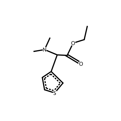 CCOC(=O)C(c1ccsc1)N(C)C